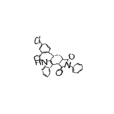 O=C1C2CC(c3ccc(Cl)cc3Cl)c3[nH]c4ccccc4c3C2C(=O)N1c1ccccc1